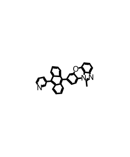 Cc1nc2cccc3c2n1-c1ccc(-c2c4ccccc4c(-c4cccnc4)c4ccccc24)cc1O3